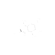 CO[C@H]1O[C@H](CO)[C@H](O)[C@@H](O)[C@@H]1NC(C)=O